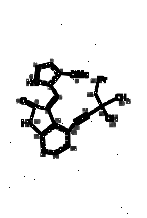 COc1cc[nH]c1C=C1C(=O)Nc2cccc(C#CC(C)(O)CC(C)C)c21